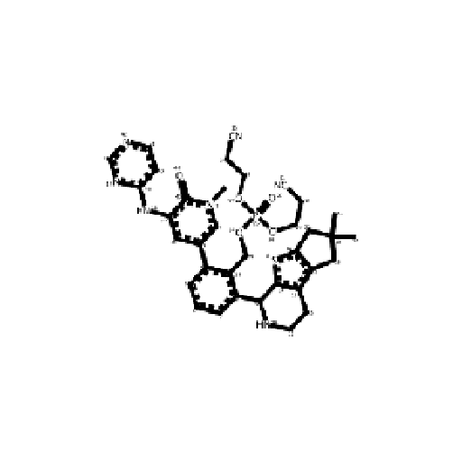 Cn1cc(-c2cccc(C3NCCc4c3sc3c4CC(C)(C)C3)c2COP(=O)(OCCC#N)OCCC#N)cc(Nc2ccncn2)c1=O